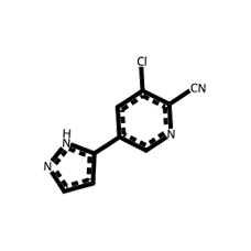 N#Cc1ncc(-c2ccn[nH]2)cc1Cl